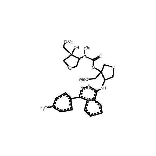 COCC1(O)COCC1N(C(=O)OC1(COC)COCC1Nc1nnc(-c2ccc(C(F)(F)F)cc2)c2ccccc12)C(C)(C)C